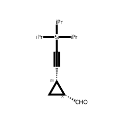 CC(C)[Si](C#C[C@H]1C[C@H]1C=O)(C(C)C)C(C)C